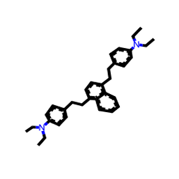 CCN(CC)c1ccc(CCc2ccc(CCc3ccc(N(CC)CC)cc3)c3ccccc23)cc1